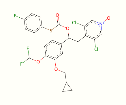 O=C(OC(Cc1c(Cl)c[n+]([O-])cc1Cl)c1ccc(OC(F)F)c(OCC2CC2)c1)Sc1ccc(F)cc1